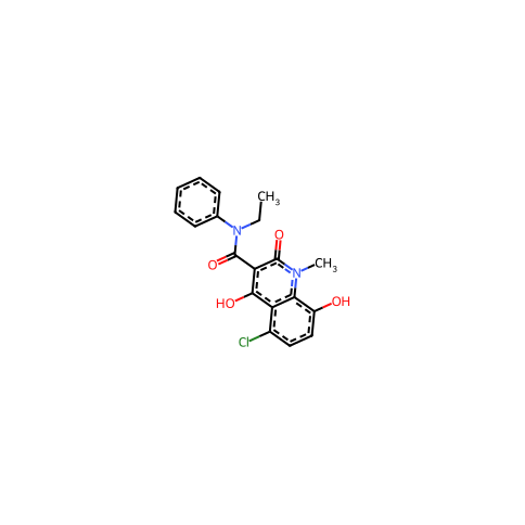 CCN(C(=O)c1c(O)c2c(Cl)ccc(O)c2n(C)c1=O)c1ccccc1